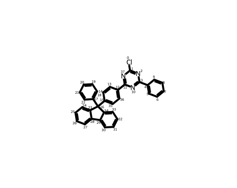 Clc1nc(-c2ccccc2)nc(-c2ccc(C3(c4ccccc4)c4ccccc4-c4ccccc43)cc2)n1